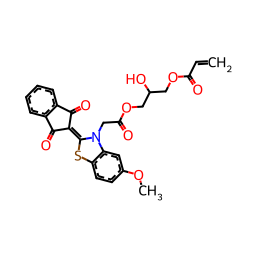 C=CC(=O)OCC(O)COC(=O)CN1C(=C2C(=O)c3ccccc3C2=O)Sc2ccc(OC)cc21